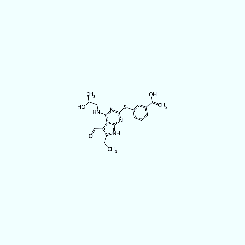 C=C(O)c1cccc(Sc2nc(NC[C@H](C)O)c3c(C=O)c(CC)[nH]c3n2)c1